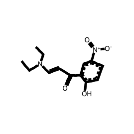 CCN(C=CC(=O)c1cc([N+](=O)[O-])ccc1O)CC